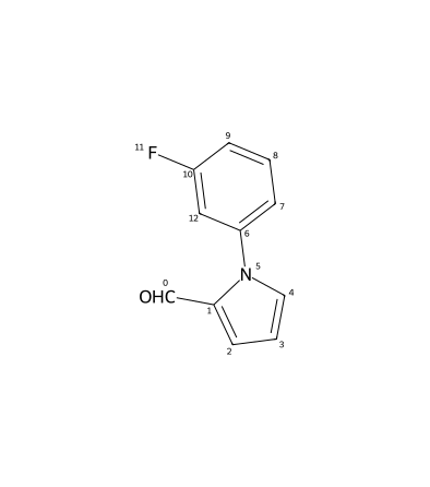 O=Cc1cccn1-c1cccc(F)c1